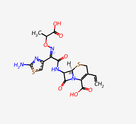 C=CC1=C(C(=O)O)N2C(=O)C(NC(=O)/C(=N/OC(C)C(=O)O)c3csc(N)n3)[C@H]2SC1